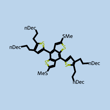 CCCCCCCCCCCCc1cc(-c2c3cc(SC)sc3c(-c3cc(CCCCCCCCCCCC)c(CCCCCCCCCCCC)s3)c3cc(SC)sc23)sc1CCCCCCCCCCCC